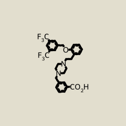 O=C(O)c1cccc(CN2CCN(CCc3ccccc3OCc3cc(C(F)(F)F)cc(C(F)(F)F)c3)CC2)c1